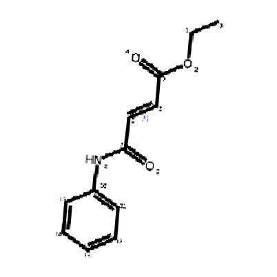 CCOC(=O)/C=C/C(=O)Nc1ccccc1